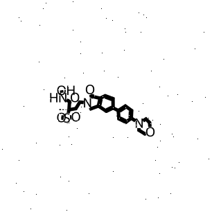 C[C@@](CCN1Cc2cc(-c3ccc(N4CCOCC4)cc3)ccc2C1=O)(C(=O)NO)S(C)(=O)=O